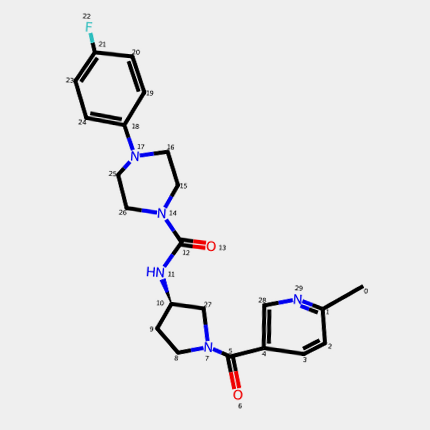 Cc1ccc(C(=O)N2CC[C@@H](NC(=O)N3CCN(c4ccc(F)cc4)CC3)C2)cn1